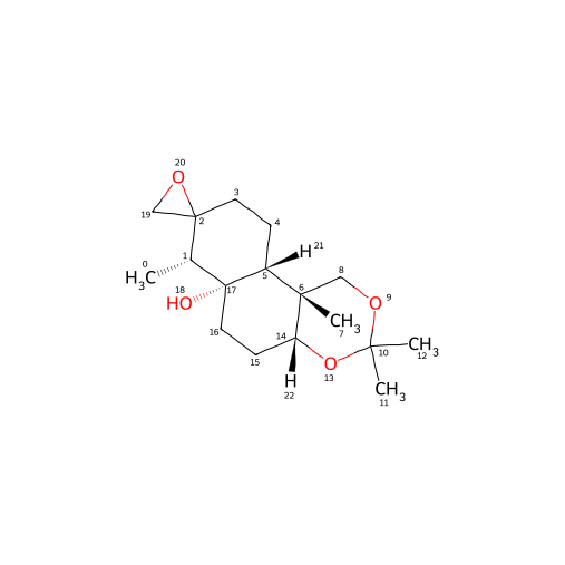 C[C@@H]1C2(CC[C@@H]3[C@]4(C)COC(C)(C)O[C@@H]4CC[C@@]13O)CO2